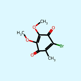 COC1=C(OC)C(=O)C(Br)=C(C)C1=O